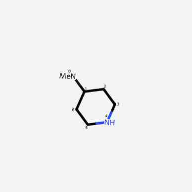 [CH2]NC1CCNCC1